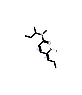 CC/C=C(N)/C=C\C(=O)N(C)C(C)CC